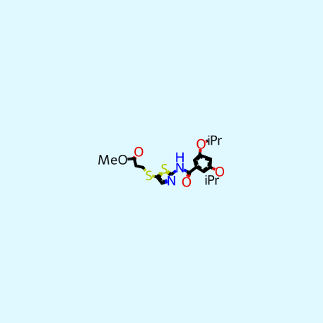 COC(=O)CCSc1cnc(NC(=O)c2cc(OC(C)C)cc(OC(C)C)c2)s1